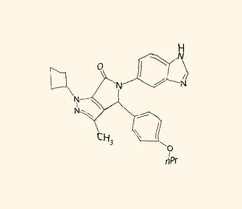 CCCOc1ccc(C2c3c(C)nn(C4CCC4)c3C(=O)N2c2ccc3[nH]cnc3c2)cc1